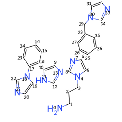 NCCCn1ccnc1.c1c[nH]cn1.c1ccc(-n2ccnc2)cc1.c1ccc(Cn2ccnc2)cc1